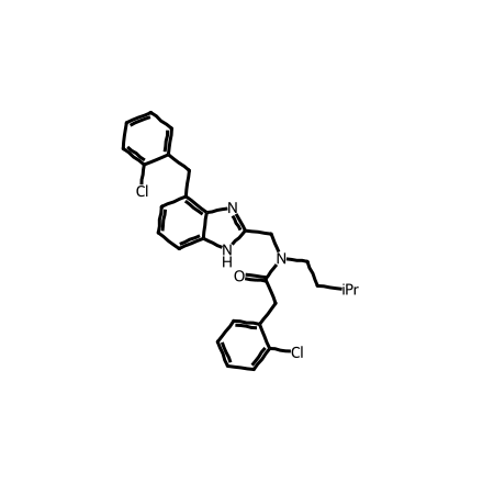 CC(C)CCN(Cc1nc2c(Cc3ccccc3Cl)cccc2[nH]1)C(=O)Cc1ccccc1Cl